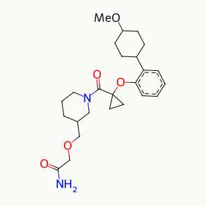 COC1CCC(c2ccccc2OC2(C(=O)N3CCCC(COCC(N)=O)C3)CC2)CC1